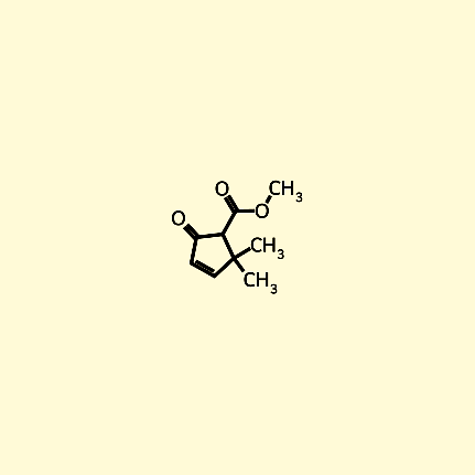 COC(=O)C1C(=O)C=CC1(C)C